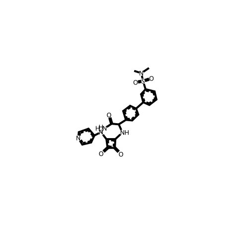 CN(C)S(=O)(=O)c1cccc(-c2ccc(C(Nc3c(Nc4ccncc4)c(=O)c3=O)C(N)=O)cc2)c1